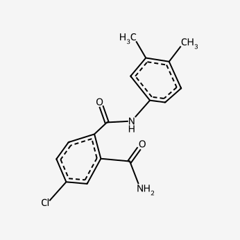 Cc1ccc(NC(=O)c2ccc(Cl)cc2C(N)=O)cc1C